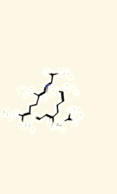 CC(=O)/C=C/C=C(\C)CCC=C(C)C.CC(C)=CCCC(C)=CC=O.CC(C)=O